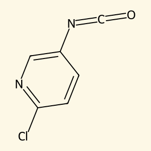 O=C=Nc1ccc(Cl)nc1